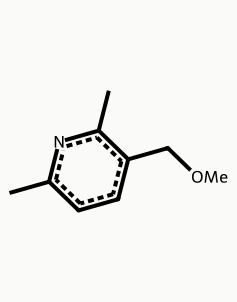 COCc1ccc(C)nc1C